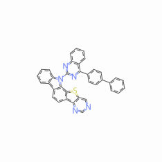 c1ccc(-c2ccc(-c3nc(-n4c5ccccc5c5ccc6c7ncncc7sc6c54)nc4ccccc34)cc2)cc1